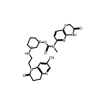 CN(C(=O)O[C@@H]1CCC[C@H](NCCN2C(=O)CCc3ncc(C#N)cc32)C1)c1ccc2c(n1)NC(=O)CS2